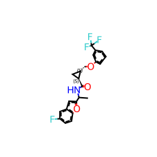 CC(NC(=O)[C@H]1C[C@@H]1COc1cccc(C(F)(F)F)c1)c1cc2cc(F)ccc2o1